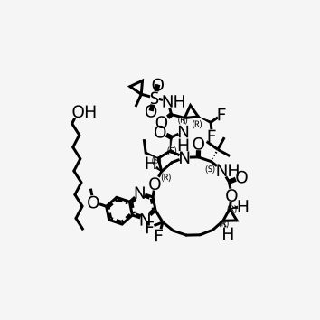 CCCCCCCCCCO.CC[C@@H]1[C@@H]2CN(C(=O)[C@H](C(C)(C)C)NC(=O)O[C@@H]3C[C@H]3CCCCC(F)(F)c3nc4ccc(OC)cc4nc3O2)[C@@H]1C(=O)N[C@]1(C(=O)NS(=O)(=O)C2(C)CC2)C[C@H]1C(F)F